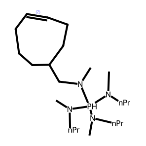 CCCN(C)[PH](N(C)CCC)(N(C)CCC)N(C)CC1CC/C=C\CCC1